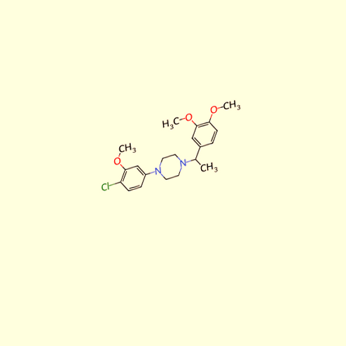 COc1cc(N2CCN(C(C)c3ccc(OC)c(OC)c3)CC2)ccc1Cl